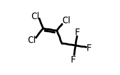 FC(F)(F)CC(Cl)=C(Cl)Cl